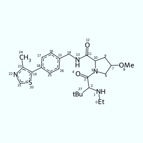 CCNC(C(=O)N1CC(OC)CC1C(=O)NCc1ccc(-c2scnc2C)cc1)C(C)(C)C